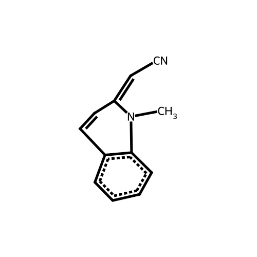 CN1C(=CC#N)C=Cc2ccccc21